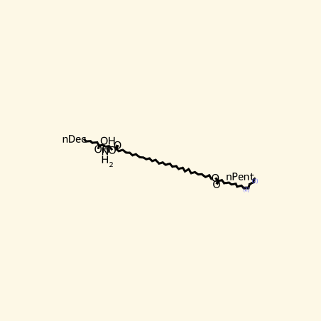 CCCCC/C=C\C/C=C\CCCCCCCC(=O)OCCCCCCCCCCCCCCCCCCCCCCCCCCCCCC(=O)OCC(N)C(O)C(O)CCCCCCCCCCCCCC